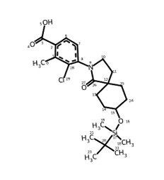 Cc1c(C(=O)O)ccc(N2CCC3(CCC(O[Si](C)(C)C(C)(C)C)CC3)C2=O)c1Cl